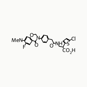 CNc1cc2c(cc1F)C(=O)N(c1ccc(CC(=O)NCC(C(=O)O)c3ccc(Cl)s3)cc1)CO2